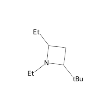 CCC1CC(C(C)(C)C)N1CC